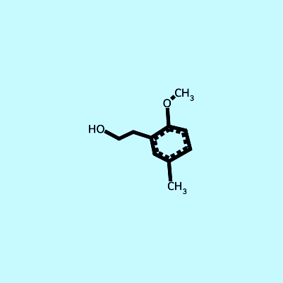 COc1ccc(C)cc1CCO